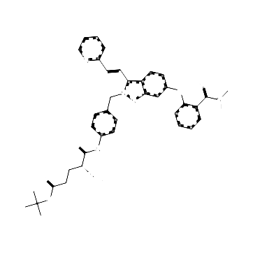 CNC(=O)c1ccccc1Sc1ccc2c(/C=C/c3ccccn3)n(Cc3ccc(NC(=O)[C@@H](N)CCC(=O)OC(C)(C)C)cc3)nc2c1